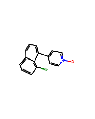 [O-][n+]1ccc(-c2cccc3cccc(Br)c23)cc1